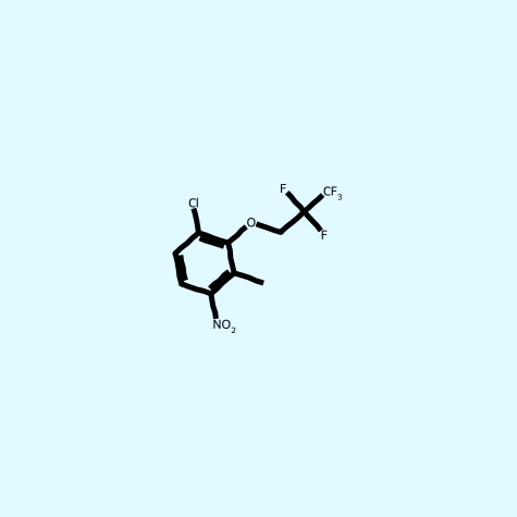 Cc1c([N+](=O)[O-])ccc(Cl)c1OCC(F)(F)C(F)(F)F